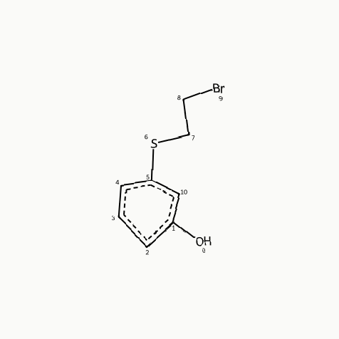 Oc1cccc(SCCBr)c1